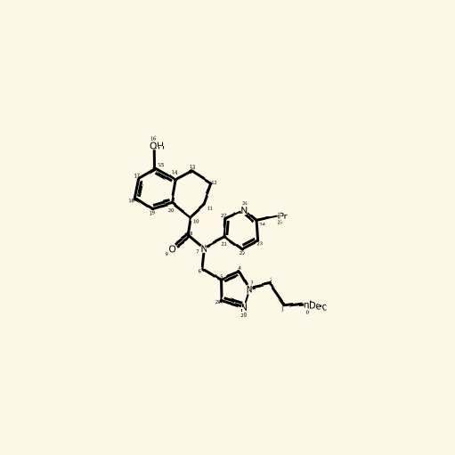 CCCCCCCCCCCCn1cc(CN(C(=O)C2CCCc3c(O)cccc32)c2ccc(C(C)C)nc2)cn1